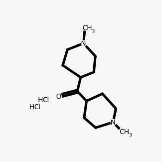 CN1CCC(C(=O)C2CCN(C)CC2)CC1.Cl.Cl